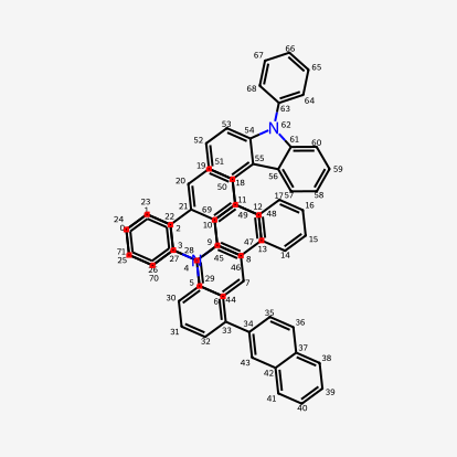 c1ccc(-c2ccccc2-c2c(-c3ccccc3)cccc2-c2ccccc2N(c2cccc(-c3ccc4ccccc4c3)c2)c2cccc(-c3cccc4c3c3ccccc3n4-c3ccccc3)c2)cc1